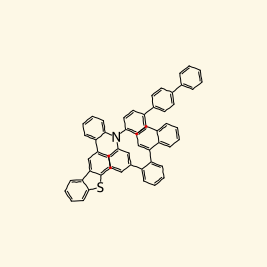 c1ccc(-c2ccc(-c3ccc(N(c4cccc(-c5ccccc5-c5cccc6ccccc56)c4)c4ccccc4-c4ccc5sc6ccccc6c5c4)cc3)cc2)cc1